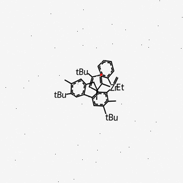 [CH2]=[Zr]([CH2]C)([C]1=CC(C(C)(C)C)=CC1C)([c]1ccccc1)[c]1c(C)c(C(C)(C)C)cc2c1Cc1cc(C)c(C(C)(C)C)cc1-2